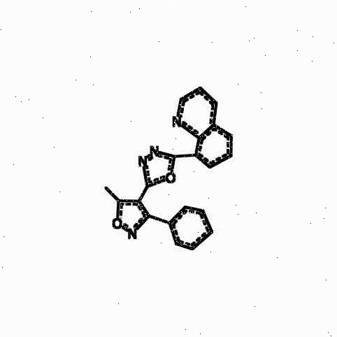 Cc1onc(-c2ccccc2)c1-c1nnc(-c2cccc3cccnc23)o1